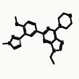 CCn1cnc2c(N3CCOCC3)nc(-c3ccc(OC)c(-c4ccn(C)n4)c3)nc21